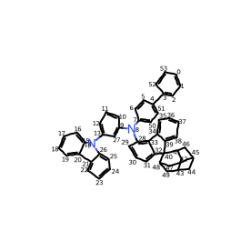 c1ccc(-c2ccc(N(c3cccc(-n4c5ccccc5c5ccccc54)c3)c3cccc4c3-c3ccccc3C43C4CC5CC(C4)CC3C5)cc2)cc1